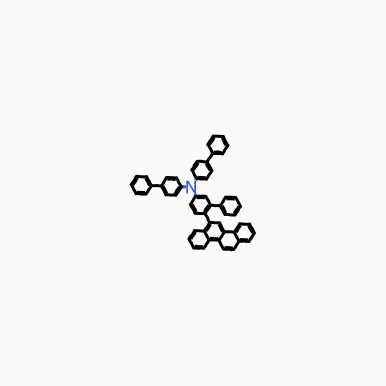 c1ccc(-c2ccc(N(c3ccc(-c4ccccc4)cc3)c3ccc(-c4cc5c6ccccc6ccc5c5ccccc45)c(-c4ccccc4)c3)cc2)cc1